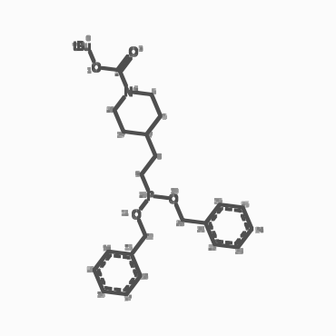 CC(C)(C)OC(=O)N1CCC(CCP(OCc2ccccc2)OCc2ccccc2)CC1